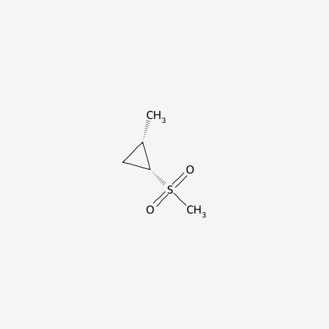 C[C@H]1C[C@H]1S(C)(=O)=O